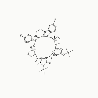 CC(C)[C@H]1C(=O)N2CCC[C@H]2Cc2c3n(c4cc(F)ccc24)CCn2c-3c(c3ccc(F)cc32)C[C@@H]2CCCN2C(=O)[C@@H](NC(=O)OC(C)(C)C)C(C)N1C(=O)OC(C)(C)C